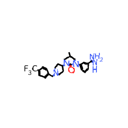 CC1CN(c2cccc(C(=N)N)c2)C(=O)N(C2CCN(Cc3ccc(C(F)(F)F)cc3)CC2)C1